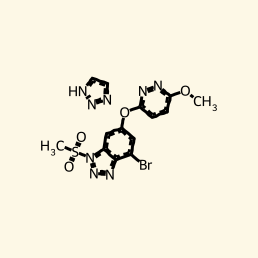 COc1ccc(Oc2cc(Br)c3nnn(S(C)(=O)=O)c3c2)nn1.c1c[nH]nn1